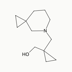 OCC1(CN2CCCC3(CC3)C2)CC1